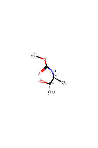 CC(C)(C)OC(=O)N[C@H]([C@@H](O)C(=O)O)C(F)(F)F